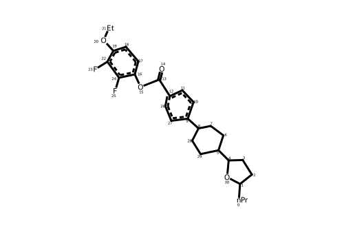 CCCC1CCC(C2CCC(c3ccc(C(=O)Oc4ccc(OCC)c(F)c4F)cc3)CC2)O1